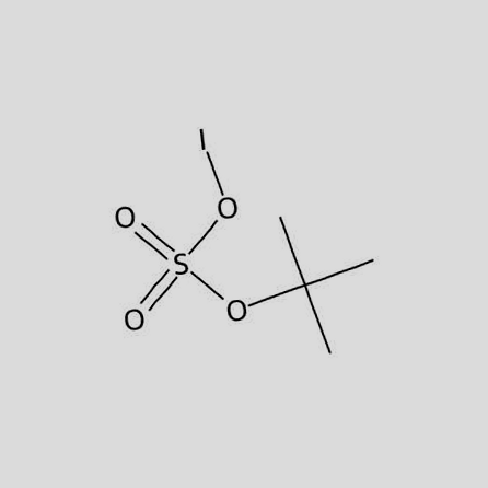 CC(C)(C)OS(=O)(=O)OI